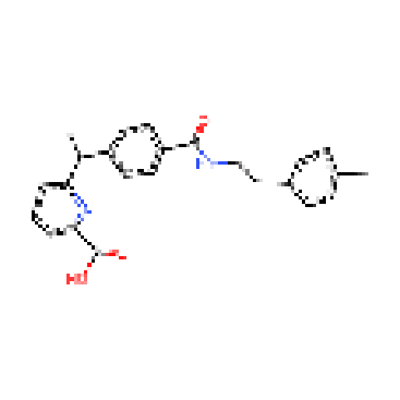 Cc1ccc(CCNC(=O)c2ccc(C(C)c3cccc(C(=O)O)n3)cc2)cc1